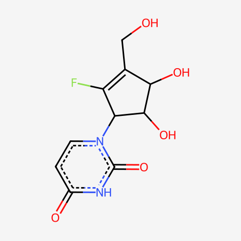 O=c1ccn(C2C(F)=C(CO)C(O)C2O)c(=O)[nH]1